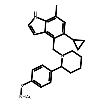 CC(=O)NSc1ccc(C2CCCCN2Cc2c(C3CC3)cc(C)c3[nH]ccc23)cc1